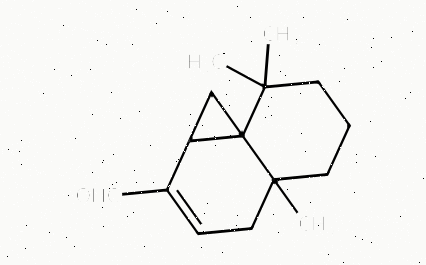 CC1(C)CCCC2(C)CC=C(C=O)C3CC312